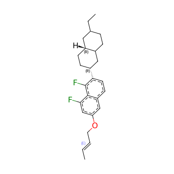 C/C=C/COc1cc(F)c2c(F)c([C@@H]3CC[C@@H]4CC(CC)CCC4C3)ccc2c1